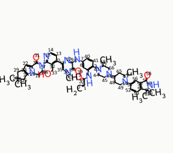 C=CC(=O)Nc1cc(Nc2nc(-c3ccnc(N4CCn5c(cc6c5CC(C)(C)C6)C4=O)c3CO)cn(C)c2=O)ccc1N1CCN(C2CCN(c3ccc4c(c3)C(=O)NC4(C)C)[C@@H](C)C2)C[C@@H]1C